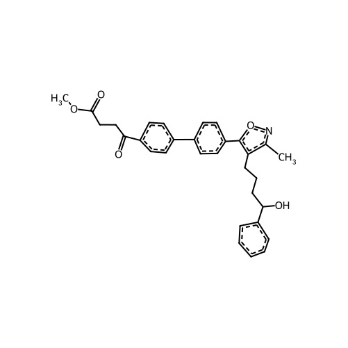 COC(=O)CCC(=O)c1ccc(-c2ccc(-c3onc(C)c3CCCC(O)c3ccccc3)cc2)cc1